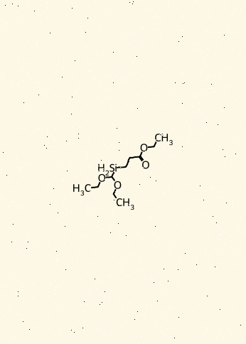 CCOC(=O)CC[SiH2]C(OCC)OCC